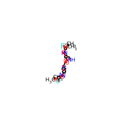 CC(C)Oc1ccc(-c2nc(-c3ccc4c(c3)CCN(CCCC(=O)OC3CNCCc5cc(-c6noc(-c7ccc(OC(C)C)c(C(F)(F)F)c7)n6)ccc53)CC4)no2)cc1C(F)(F)F